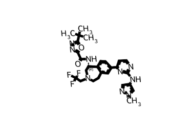 Cn1cc(Nc2nccc(-c3ccc4c(c3)CCN(CC(F)(F)F)C[C@@H]4NC(=O)c3nnc(C(C)(C)C)o3)n2)cn1